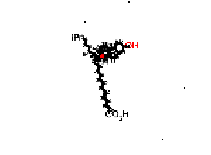 CC(C)CCC[C@@H](C)[C@H]1CC[C@H]2[C@@H]3CCC4CC(O)CC[C@]4(C)C3(CCCCCCCCCCCCCC=CC(=O)O)CC[C@]12C